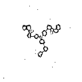 c1ccc(-c2cccc(-c3ccc(N(c4ccc(-c5cccc6c5oc5ccc7ccccc7c56)cc4)c4ccc(-c5cccc6c5oc5ccc7ccccc7c56)cc4)cc3)c2)cc1